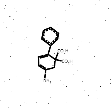 NC1=CC=C(c2ccccc2)C(C(=O)O)(C(=O)O)C1